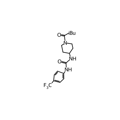 CCC(C)C(=O)N1CCC(NC(=O)Nc2ccc(C(F)(F)F)cc2)CC1